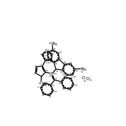 CC1C=CC(c2ccsc2)=[C]1[Zr+2](=[C](c1ccccc1)c1ccccc1)[CH]1c2ccc(C(C)(C)C)cc2-c2cc(C(C)(C)C)ccc21.[Cl-].[Cl-]